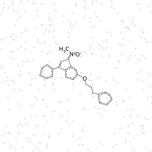 C[N+]([O-])=C1C=C(c2ccccc2)c2ccc(OCCCc3ccccc3)cc21